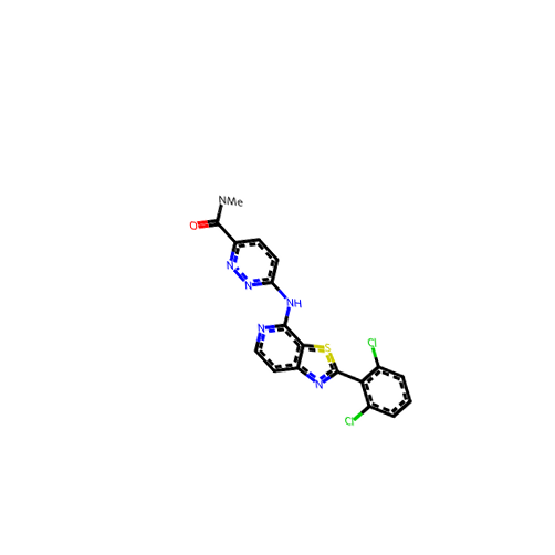 CNC(=O)c1ccc(Nc2nccc3nc(-c4c(Cl)cccc4Cl)sc23)nn1